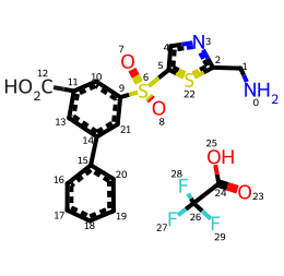 NCc1ncc(S(=O)(=O)c2cc(C(=O)O)cc(-c3ccccc3)c2)s1.O=C(O)C(F)(F)F